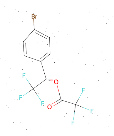 O=C(O[C@@H](c1ccc(Br)cc1)C(F)(F)F)C(F)(F)F